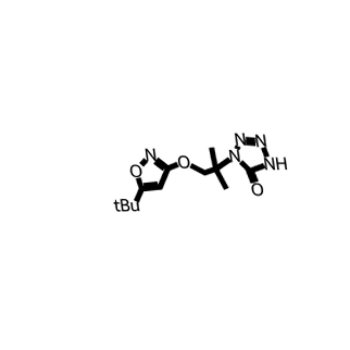 CC(C)(C)c1cc(OCC(C)(C)n2nn[nH]c2=O)no1